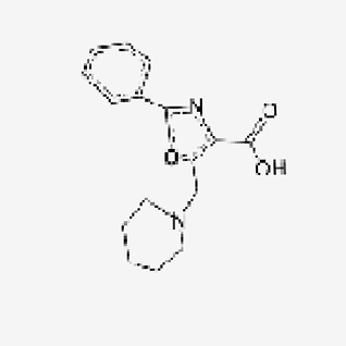 O=C(O)c1nc(-c2ccccc2)oc1CN1CCCCC1